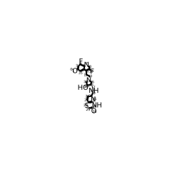 COc1cc(F)c2ncc(F)c(CCN3C[C@H](CNCc4ccc5c(n4)NC(=O)CS5)[C@H](O)C3)c2c1